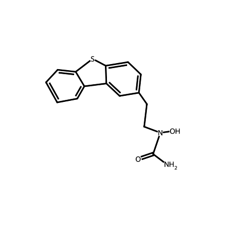 NC(=O)N(O)CCc1ccc2sc3ccccc3c2c1